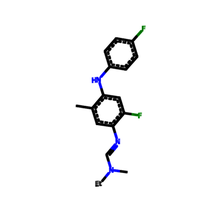 CCN(C)C=Nc1cc(C)c(Nc2ccc(F)cc2)cc1F